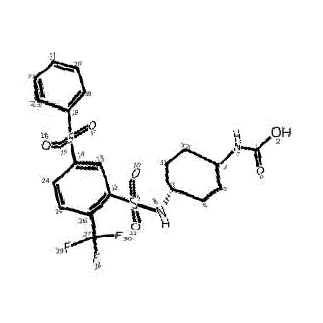 O=C(O)N[C@H]1CC[C@H](NS(=O)(=O)c2cc(S(=O)(=O)c3ccccc3)ccc2C(F)(F)F)CC1